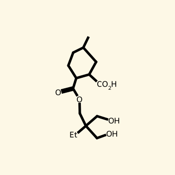 CCC(CO)(CO)COC(=O)C1CCC(C)CC1C(=O)O